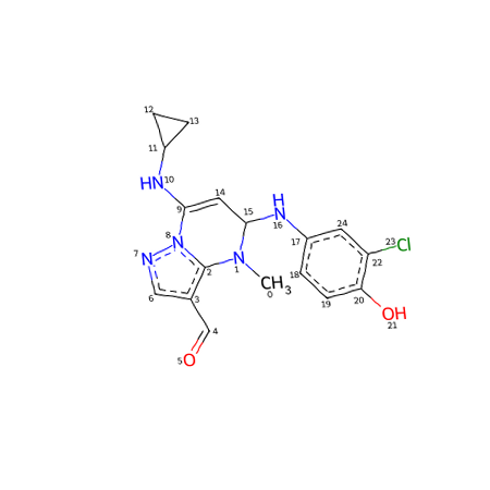 CN1c2c(C=O)cnn2C(NC2CC2)=CC1Nc1ccc(O)c(Cl)c1